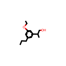 CCCc1cc(OCC)cc([C](C)CO)c1